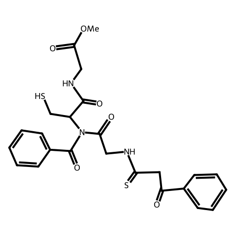 COC(=O)CNC(=O)C(CS)N(C(=O)CNC(=S)CC(=O)c1ccccc1)C(=O)c1ccccc1